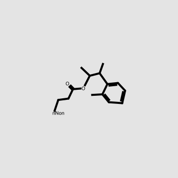 CCCCCCCCCCCC(=O)OC(C)C(C)c1ccccc1C